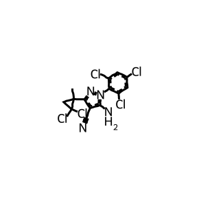 CC1(c2nn(-c3c(Cl)cc(Cl)cc3Cl)c(N)c2C#N)CC1(Cl)Cl